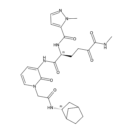 CNC(=O)C(=O)CC[C@H](NC(=O)c1ccnn1C)C(=O)Nc1cccn(CC(=O)N[C@@H]2CC3CCC2C3)c1=O